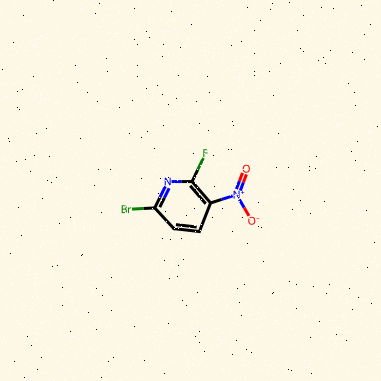 O=[N+]([O-])c1ccc(Br)nc1F